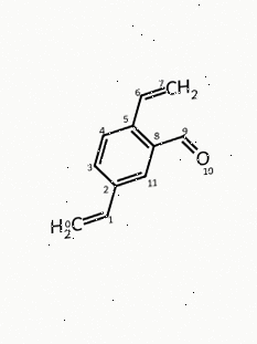 C=Cc1ccc(C=C)c(C=O)c1